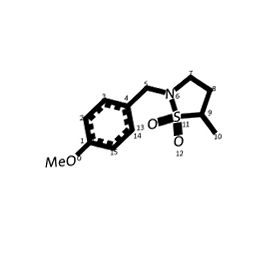 COc1ccc(CN2CCC(C)S2(=O)=O)cc1